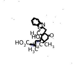 CC1=C(Cc2nc3ccccc3s2)C(=O)CC(C)(C)[C@]1(O)/C=C/C(C)=C\C(=O)O